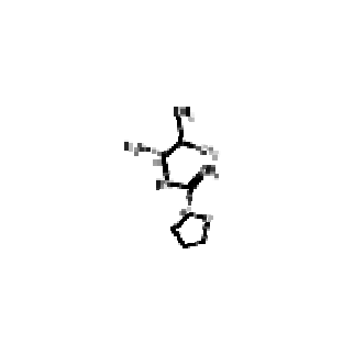 C=C(N[C@H](C)C(C)C)[C@H]1CCCO1